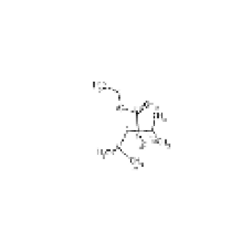 CCOC(=O)C(F)(CC(C)C)C(C)C